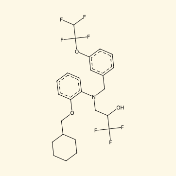 OC(CN(Cc1cccc(OC(F)(F)C(F)F)c1)c1ccccc1OCC1CCCCC1)C(F)(F)F